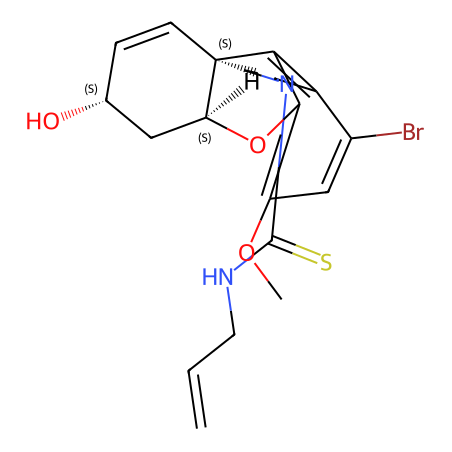 C=CCNC(=S)N1CC[C@@]23C=C[C@@H](O)C[C@@H]2Oc2c(OC)cc(Br)c(c23)C1